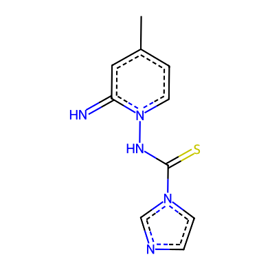 Cc1ccn(NC(=S)n2ccnc2)c(=N)c1